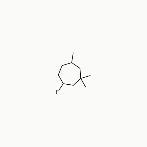 CC1CCC(F)CC(C)(C)C1